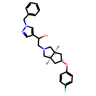 OC(CN1C[C@H]2C[C@@H](Oc3ccc(F)cc3)C[C@H]2C1)c1cnn(Cc2ccccc2)c1